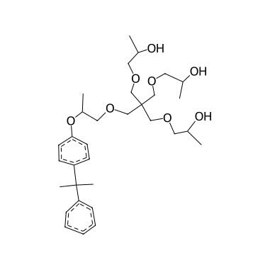 CC(O)COCC(COCC(C)O)(COCC(C)O)COCC(C)Oc1ccc(C(C)(C)c2ccccc2)cc1